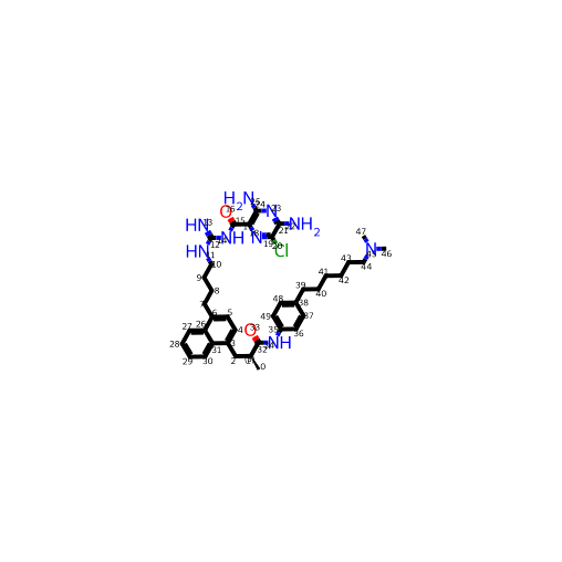 C[C@@H](Cc1ccc(CCCCNC(=N)NC(=O)c2nc(Cl)c(N)nc2N)c2ccccc12)C(=O)Nc1ccc(CCCCCCN(C)C)cc1